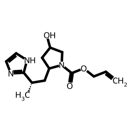 C=CCOC(=O)N1CC(O)CC1C[C@H](C)c1ncc[nH]1